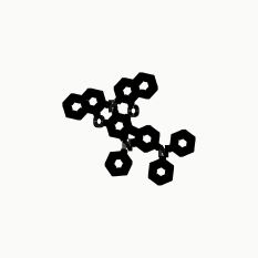 c1ccc(N(c2ccccc2)c2ccc3c4c5c6c(cc4n(-c4ccccc4)c3c2)Oc2c(ccc3ccccc23)B6c2ccc3ccccc3c2O5)cc1